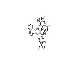 C=CC(=O)N1C[C@H](C)N(c2nc(=O)n(-c3c(C(C)C)nc4c(ncn4C)c3C)c3nc(-c4ccccc4F)c(Cl)cc23)C[C@H]1C